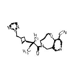 CC(C)(C(=O)N1CCOc2c(C#N)cncc2C1)C1CC(Cn2nccn2)C1